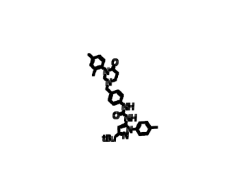 Cc1ccc(-n2nc(C(C)(C)C)cc2NC(=O)Nc2ccc(CN3CCC(=O)N(c4ccc(C)cc4C)C3)cc2)cc1